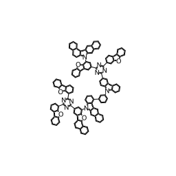 c1cc(-c2cccc3c2c2cc4ccccc4cc2n3-c2cc(-c3nc(-c4cccc5c4oc4ccccc45)nc(-c4cccc5c4oc4ccccc45)n3)cc3c2oc2c4ccccc4ccc32)cc(-n2c3ccccc3c3cc(-c4nc(-c5ccc6c(c5)oc5ccccc56)nc(-c5cc(-n6c7cc8ccccc8cc7c7c8ccccc8ccc76)c6oc7ccccc7c6c5)n4)ccc32)c1